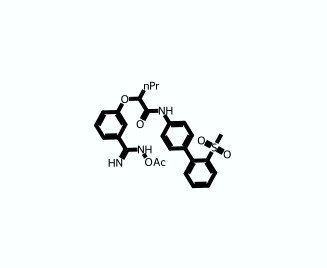 CCCC(Oc1cccc(C(=N)NOC(C)=O)c1)C(=O)Nc1ccc(-c2ccccc2S(C)(=O)=O)cc1